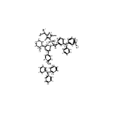 Cc1nn(C(F)F)c(C)c1S(=O)(=O)C1(c2cc(N3CCOC[C@@H]3C)nc(-c3ccc(N)cc3)n2)CC1.[Cl][Pd][Cl].c1ccc(P(c2ccccc2)c2ccccc2)cc1.c1ccc(P(c2ccccc2)c2ccccc2)cc1